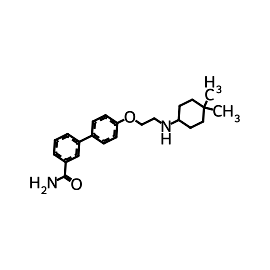 CC1(C)CCC(NCCOc2ccc(-c3cccc(C(N)=O)c3)cc2)CC1